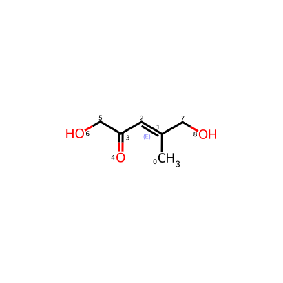 C/C(=C\C(=O)CO)CO